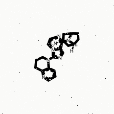 N[C@@H]1CC2CC[C@H](C1)N2c1nccn2c(N3CCCc4ncccc43)ncc12